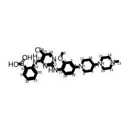 COc1cc(N2CCC(N3CCN(C)CC3)CC2)ccc1Nc1ncc(Cl)c(Nc2ccccc2B(O)O)n1